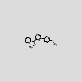 COc1ccc(-c2cncc(C(OC)c3ccccn3)n2)cc1